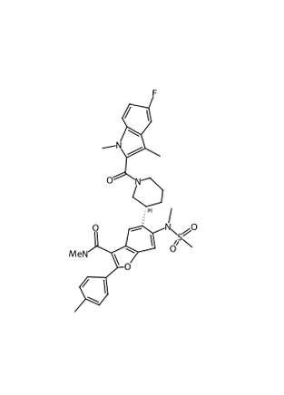 CNC(=O)c1c(-c2ccc(C)cc2)oc2cc(N(C)S(C)(=O)=O)c([C@H]3CCCN(C(=O)c4c(C)c5cc(F)ccc5n4C)C3)cc12